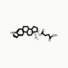 C[C@]12CCC3c4cc5cc[nH]c5cc4CCC3C1CC[C@@H]2OC(=O)CCC(=O)O